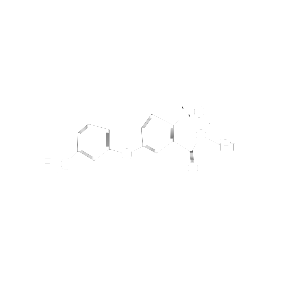 CC(C)OC(=O)c1cc(Oc2cccc(C(F)(F)F)c2)ccc1[N+](=O)[O-]